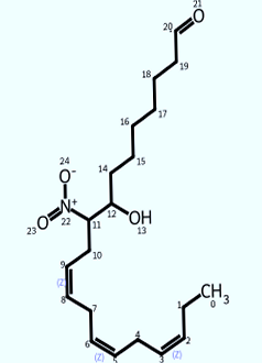 CC/C=C\C/C=C\C/C=C\CC(C(O)CCCCCC[C]=O)[N+](=O)[O-]